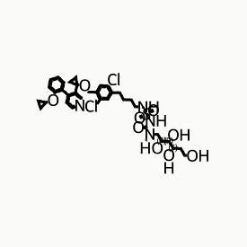 CN(C[C@@H](O)[C@H](O)[C@@H](O)CCO)C(=O)NS(=O)(=O)NCCCCc1cc(Cl)c(COC2(c3cnccc3-c3ccccc3OC3CC3)CC2)cc1Cl